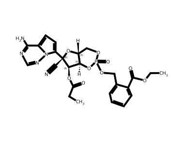 CCOC(=O)c1ccccc1COP1(=O)OC[C@H]2O[C@@](C#N)(c3ccc4c(N)ncnn34)[C@H](OC(=O)CC)[C@@H]2O1